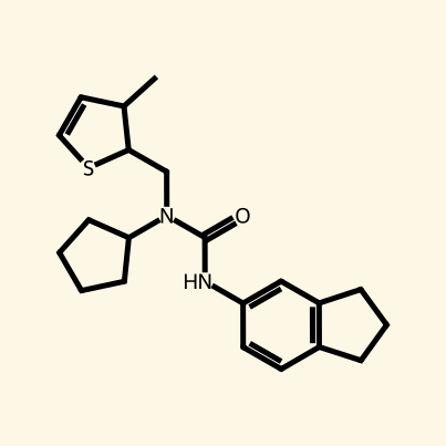 CC1C=CSC1CN(C(=O)Nc1ccc2c(c1)CCC2)C1CCCC1